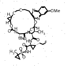 COc1ccc2nc3c(nc2c1)O[C@H]1CN(C(=O)[C@H](C(C)(C)C)NC(=O)O[C@@H]2C[C@H]2CCCCC3)[C@H](C(=O)N[C@]2(C(=O)NS(=O)(=O)C3(C)CC3)C[C@H]2CCF)[C@@H]1C